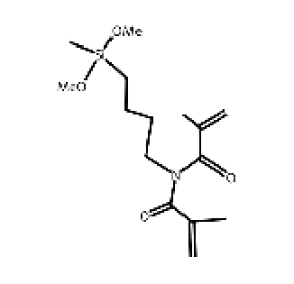 C=C(C)C(=O)N(CCCC[Si](C)(OC)OC)C(=O)C(=C)C